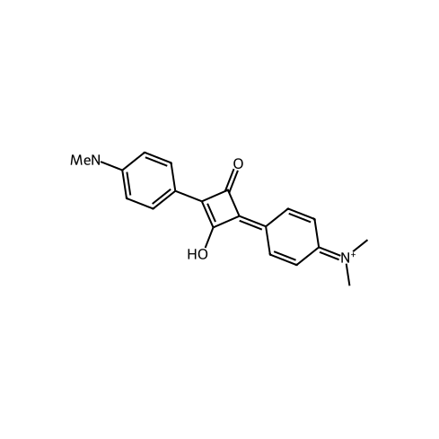 CNc1ccc(C2=C(O)C(=C3C=CC(=[N+](C)C)C=C3)C2=O)cc1